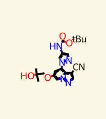 CC(C)(O)COc1cc(-n2cc(NC(=O)OC(C)(C)C)cn2)c2c(C#N)cnn2c1